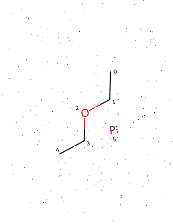 CCOCC.[P]